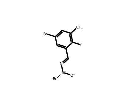 CC(C)(C)[S@@+]([O-])N=Cc1cc(Br)cc(C(F)(F)F)c1F